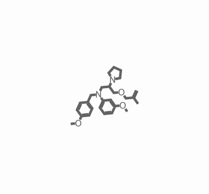 C=C(C)COCC(CN(Cc1ccc(OC)cc1)c1cccc(OC)c1)N1CCCC1